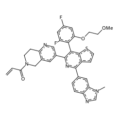 C=CC(=O)N1CCc2ncc(-c3nc(-c4ccc5ncn(C)c5c4)c4ccsc4c3-c3c(F)cc(F)cc3OCCOC)cc2C1